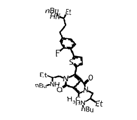 CCCCNC(CC)CCc1ccc(-c2ccc(C3=C4C(=O)N(CC(CC)NCCCC)C(C)=C4C(=O)N3CC(CC)NCCCC)s2)c(F)c1